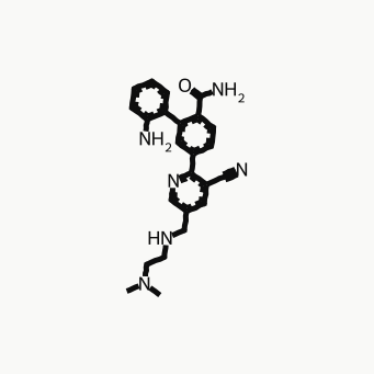 CN(C)CCNCc1cnc(-c2ccc(C(N)=O)c(-c3ccccc3N)c2)c(C#N)c1